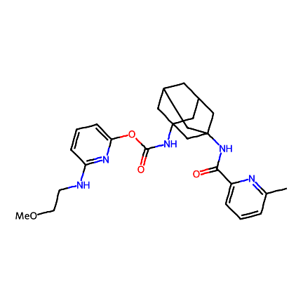 COCCNc1cccc(OC(=O)NC23CC4CC(C2)CC(NC(=O)c2cccc(C)n2)(C4)C3)n1